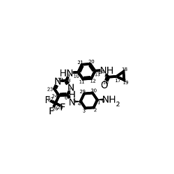 N[C@H]1CC[C@@H](Nc2nc(Nc3ccc(NC(=O)C4CC4)cc3)ncc2C(F)(F)F)CC1